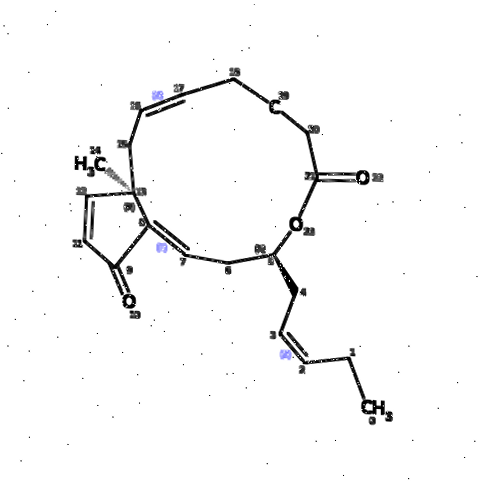 CC/C=C\C[C@H]1C/C=C2/C(=O)C=C[C@@]2(C)C/C=C\CCCC(=O)O1